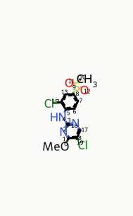 COc1nc(Nc2ccc(S(C)(=O)=O)cc2Cl)ncc1Cl